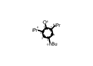 CCCCc1cc(C(C)C)c([O])c(C(C)C)c1